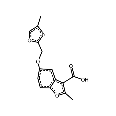 Cc1coc(COc2ccc3oc(C)c(C(=O)O)c3c2)n1